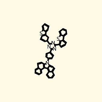 C1=CC(c2nc(-c3ccc(-n4c5ccc6ccccc6c5c5c6ccccc6ccc54)cc3)nc(-c3cccc4c3sc3ccccc34)n2)Cc2c1sc1ccccc21